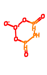 O=[PH]1O[O+]([O-])O[PH](=O)P1